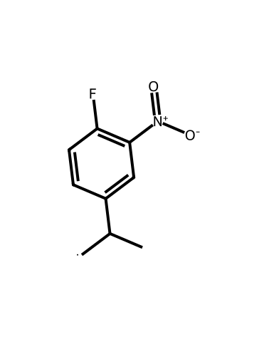 [CH2]C(C)c1ccc(F)c([N+](=O)[O-])c1